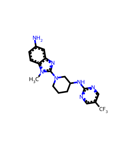 Cn1c(N2CCCC(Nc3ncc(C(F)(F)F)cn3)C2)nc2cc(N)ccc21